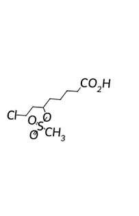 CS(=O)(=O)OC(CCCl)CCCCC(=O)O